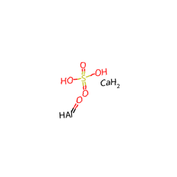 O=S(=O)(O)O.[CaH2].[O]=[AlH]